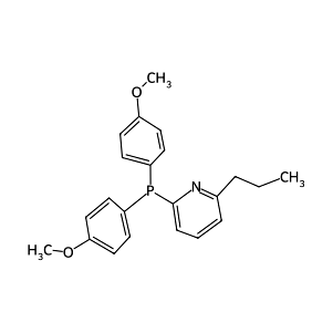 CCCc1cccc(P(c2ccc(OC)cc2)c2ccc(OC)cc2)n1